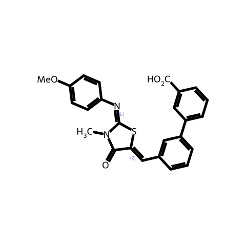 COc1ccc(/N=C2/S/C(=C\c3cccc(-c4cccc(C(=O)O)c4)c3)C(=O)N2C)cc1